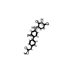 COC(=O)Cc1ccc(-c2ccc(NC3CCC(=O)NC3=O)cc2F)cc1